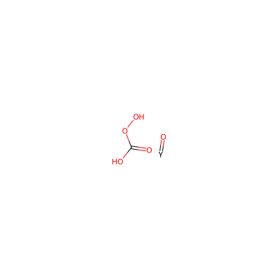 O=C(O)OO.[O]=[Y]